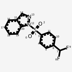 O=S(=O)(c1ccc(C(F)F)cc1)n1ncc2ccccc21